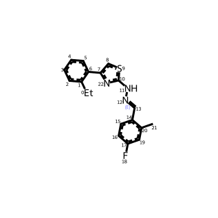 CCc1ccccc1-c1csc(N/N=C/c2ccc(F)cc2C)n1